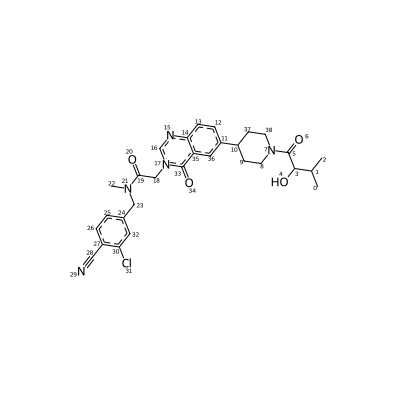 CC(C)C(O)C(=O)N1CCC(c2ccc3ncn(CC(=O)N(C)Cc4ccc(C#N)c(Cl)c4)c(=O)c3c2)CC1